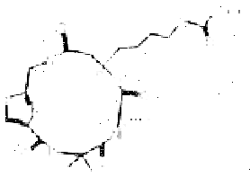 CCCCCCCC(=O)SCCCC[C@@H]1CC(=O)NCc2nc(cs2)C(=O)NC(C)(C)C(=O)N[C@@H](C(C)C)C(=O)O1